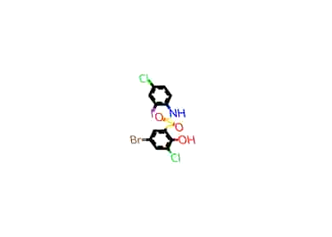 O=S(=O)(Nc1ccc(Cl)cc1I)c1cc(Br)cc(Cl)c1O